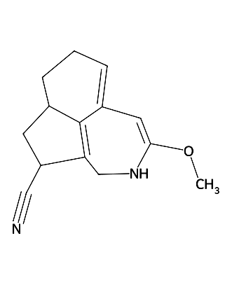 COC1=CC2=CCCC3CC(C#N)C(=C23)CN1